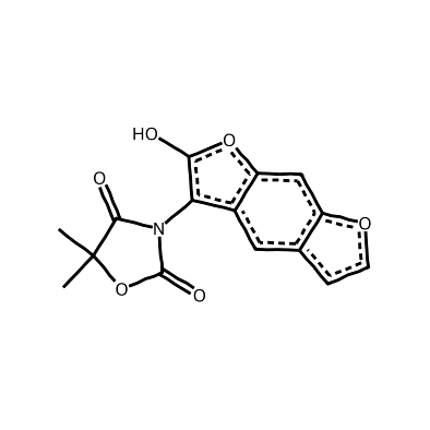 CC1(C)OC(=O)N(c2c(O)oc3cc4occc4cc23)C1=O